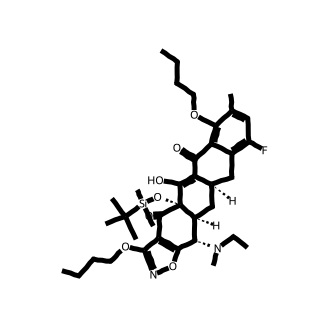 CCCCOc1noc2c1C(=O)[C@@]1(O[Si](C)(C)C(C)(C)C)C(O)=C3C(=O)c4c(c(F)cc(C)c4OCCCC)C[C@H]3C[C@H]1[C@@H]2N(C)CC